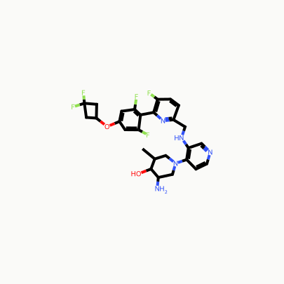 CC1CN(c2ccncc2NCc2ccc(F)c(-c3c(F)cc(OC4CC(F)(F)C4)cc3F)n2)CC(N)C1O